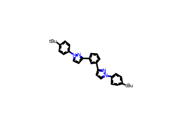 CC(C)(C)c1ccc(-n2ccc(-c3cccc(-c4ccn(-c5ccc(C(C)(C)C)cc5)n4)c3)n2)cc1